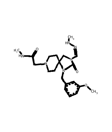 CN/N=C\N1CC2(CCN(CC(=O)NC)CC2)N(Cc2cccc(OC)c2)C1=O